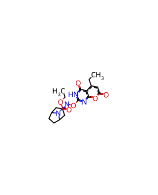 CCOC(=O)N1C2CCC1CC(=NOc1nc3oc(=O)cc(CC)c3c(=O)[nH]1)C2